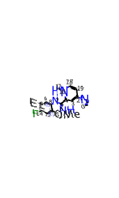 C=NC1=CC(C(=N)NC(=C/CC)/C(=C\CF)OC)N(C)C=C1